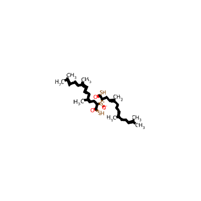 CC(C)=CCCC(C)=CCCC(C)=CCC(C(=O)S)[S+]([O-])C(CC=C(C)CCC=C(C)CCC=C(C)C)C(=O)S